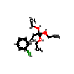 CCO[Si](CC)(OCC)OCC.Clc1ccccc1